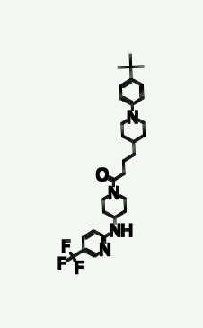 CC(C)(C)c1ccc(N2CCC(CCCC(=O)N3CCC(Nc4ccc(C(F)(F)F)cn4)CC3)CC2)cc1